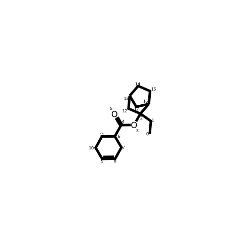 CCC1(OC(=O)C2CC=CCC2)CC2CCC1C2